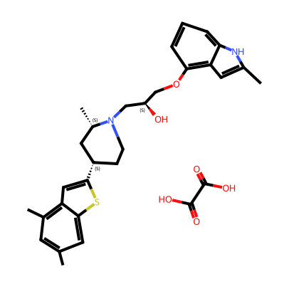 Cc1cc(C)c2cc([C@H]3CCN(C[C@H](O)COc4cccc5[nH]c(C)cc45)[C@@H](C)C3)sc2c1.O=C(O)C(=O)O